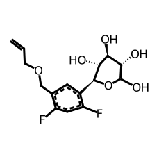 C=CCOCc1cc([C@@H]2OC(O)[C@@H](O)[C@H](O)[C@H]2O)c(F)cc1F